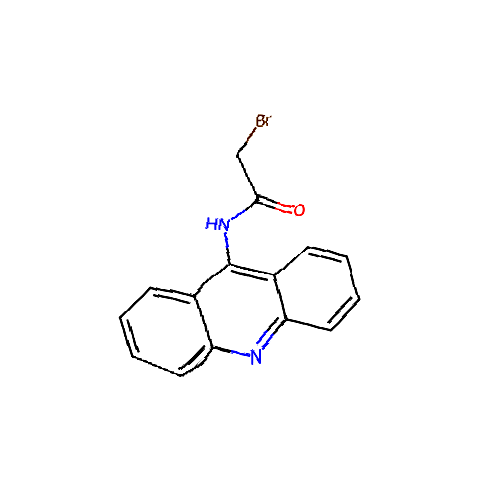 O=C(CBr)Nc1c2ccccc2nc2ccccc12